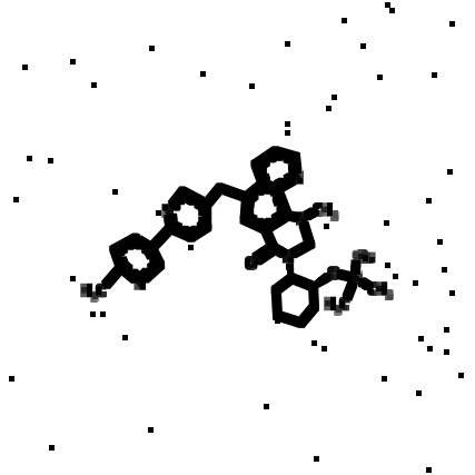 Cc1ccc(-c2ccc(Cc3cc4c(c5ncccc35)N(C)CN([C@H]3CCCC[C@@H]3O[Si](C)(C)C(C)(C)C)C4=O)cn2)cn1